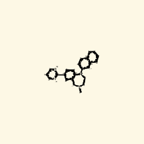 CN1CCN(c2ccc3ccccc3c2)c2ccc(-c3ncccn3)cc2C1